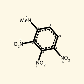 CNc1ccc([N+](=O)[O-])c([N+](=O)[O-])c1[N+](=O)[O-]